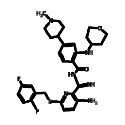 CN1CCC(c2ccc(C(=O)NC(=N)c3nc(SCc4cc(F)ccc4F)ccc3N)c(NC3CCOCC3)c2)CC1